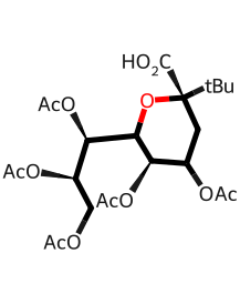 CC(=O)OC[C@@H](OC(C)=O)[C@@H](OC(C)=O)C1O[C@](C(=O)O)(C(C)(C)C)CC(OC(C)=O)[C@H]1OC(C)=O